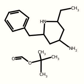 CC(C)(C)OC=O.CCC1CC(N)CC(Cc2ccccc2)N1